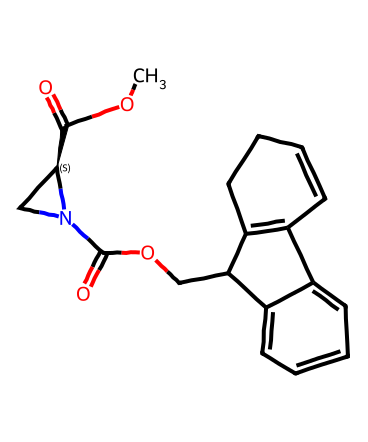 COC(=O)[C@@H]1CN1C(=O)OCC1C2=C(C=CCC2)c2ccccc21